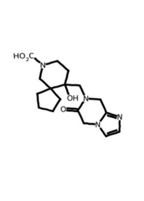 O=C(O)N1CCC(O)(CN2Cc3nccn3CC2=O)C2(CCCC2)C1